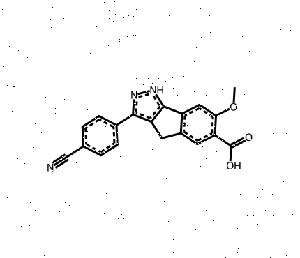 COc1cc2c(cc1C(=O)O)Cc1c(-c3ccc(C#N)cc3)n[nH]c1-2